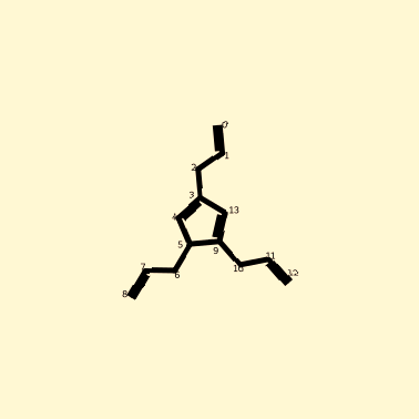 C=CCC1=[C]C(CC=C)C(CC=C)=C1